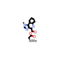 CNCC(=O)OC(=O)c1nc2ccccc2c2c1ncn2C